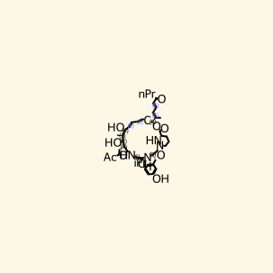 CCCC(=O)/C=C/C=C(\C)[C@@H]1C/C=C/C=C/[C@H](O)[C@H](C)[C@@H](O)[C@@H](CCC(C)=O)C(=O)N[C@@H](C(C)C)C(=O)N[C@@H](Cc2cccc(O)c2)C(=O)N2CCCC(N2)C(=O)O1